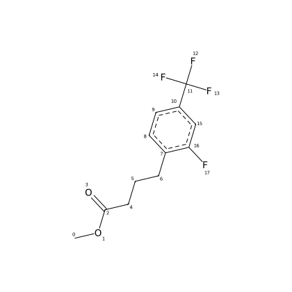 COC(=O)CCCc1ccc(C(F)(F)F)cc1F